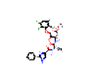 COC(=O)C[C@H](NC(=O)[C@H](C)NC(=O)c1c[nH]c(-c2ccccc2)n1)C(=O)COc1c(C)c(F)cc(F)c1F